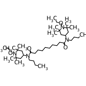 CCCCN(C(=O)CCCCCCCCC(=O)N(CCCC)C1CC(C)(C)N(OCC)C(C)(C)C1)C1CC(C)(C)N(OCC)C(C)(C)C1